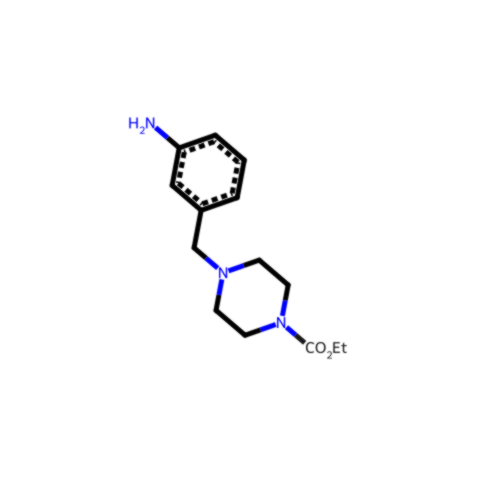 CCOC(=O)N1CCN(Cc2cccc(N)c2)CC1